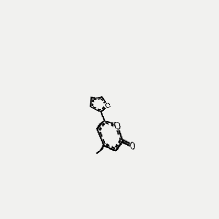 Cc1cc(-c2ccco2)oc(=O)c1